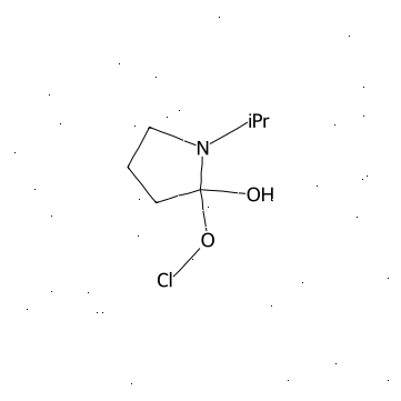 CC(C)N1CCCC1(O)OCl